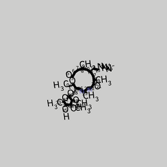 CC[C@H]1OC(=O)CC[C@H](C)C[C@@H](CCN=[N+]=[N-])C[C@@H](C)C(=O)/C=C/C(C)=C/[C@@H]1CO[C@@H]1OC(C)[C@@H](O)[C@H](OC)C1OC